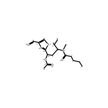 CCCCC(=O)N(C)C(CC(OC(C)=O)c1nc(C=O)cs1)C(C)C